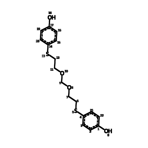 Oc1ccc(SCCOCOCCSc2ccc(O)cc2)cc1